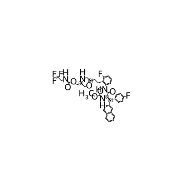 COC(=O)N[C@H](C(=O)Nc1cccc(F)c1CC[C@@H]1CN[C@H](COC(=O)NCC(F)(F)F)CO1)[C@H](c1ccc(F)cc1)c1ccc2ccccc2c1